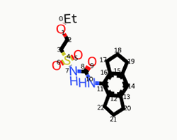 CCOCCS(=O)(=O)NC(=O)Nc1c2c(cc3c1CCC3)CCC2